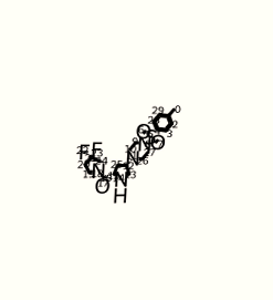 Cc1ccc(S(=O)(=O)N2CCN([C@@H]3CN[C@H](C(=O)N4CCC(F)(F)C4)C3)CC2)cc1